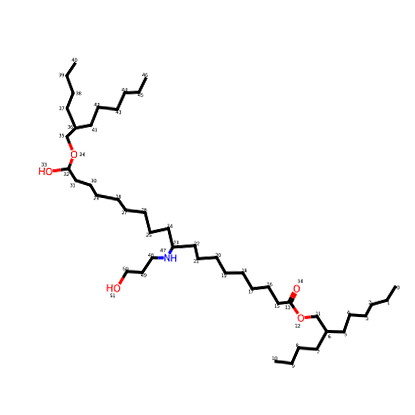 CCCCCCC(CCCC)COC(=O)CCCCCCCCC(CCCCCCCCC(O)OCC(CCCC)CCCCCC)NCCCO